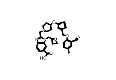 N#Cc1cc(F)ccc1OCc1cccc(OC2CCN(Cc3nc4ccc(C(=O)O)cc4n3CC3CCO3)CC2)c1